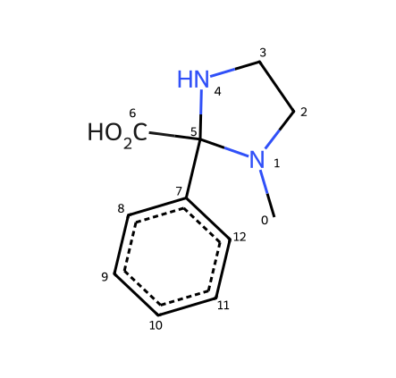 CN1CCNC1(C(=O)O)c1ccccc1